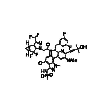 CNc1cc(-c2ccc(Cl)c3c(NS(C)(=O)=O)nn(C)c23)c(C(Cc2cc(F)cc(F)c2)NC(=O)Cn2nc(C(F)F)c3c2C(F)(F)[C@@H]2C[C@H]32)nc1C#CC(C)(C)O